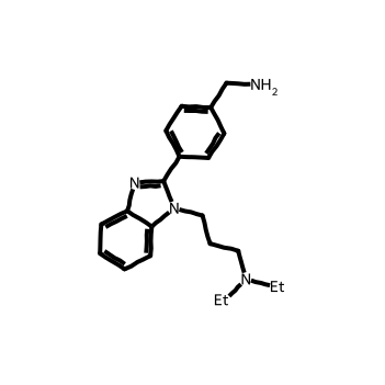 CCN(CC)CCCn1c(-c2ccc(CN)cc2)nc2ccccc21